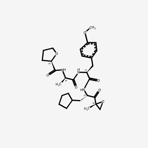 COc1ccc(C[C@H](NC(=O)[C@@H](C)NC(=O)[C@H]2CCCO2)C(=O)N[C@@H](CC2CCCC2)C(=O)[C@@]2(C)CO2)cc1